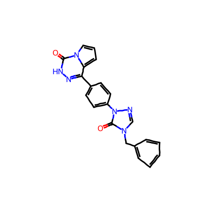 O=c1n(Cc2ccccc2)cnn1-c1ccc(-c2n[nH]c(=O)n3cccc23)cc1